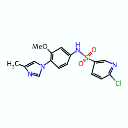 COc1cc(NS(=O)(=O)c2ccc(Cl)nc2)ccc1-n1cnc(C)c1